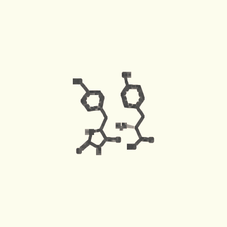 N[C@H](Cc1ccc(O)cc1)C(=O)O.O=C1NC(=O)C(Cc2ccc(O)cc2)N1